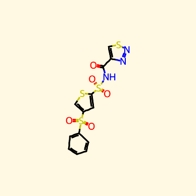 O=C(NS(=O)(=O)c1cc(S(=O)(=O)c2ccccc2)cs1)c1csnn1